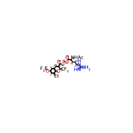 CCc1cc(OC(F)(F)F)cc2c1OC(C(F)(F)F)C(C(=O)OCOC(=O)[C@H](CCCNC(=N)N)NC(C)=O)=C2